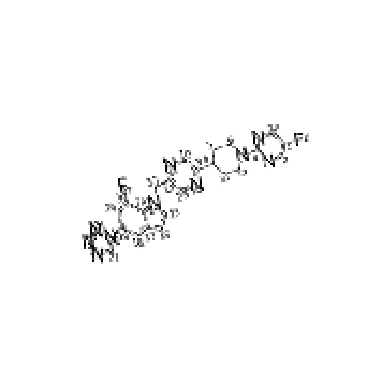 Fc1cnc(N2CCC(c3cnc(Cn4ccc5cc(-n6cnnn6)cc(F)c54)cn3)CC2)nc1